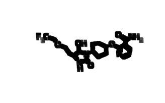 NC(=O)c1cccnc1O[C@H]1CC[C@H](N2C(=O)NC(CCOCC(F)(F)F)C2O)CC1